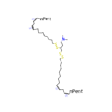 CCCCC/C=C\C/C=C\CCCCCCCCSSCC(CCN(C)C)SSCCCCCCCC/C=C\C/C=C\CCCCC